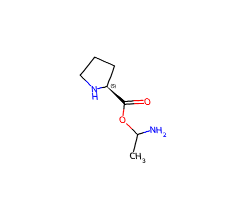 CC(N)OC(=O)[C@@H]1CCCN1